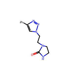 CC(C)c1cn(CCN2CCNC2=O)nn1